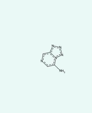 Nc1cncc2nnnn12